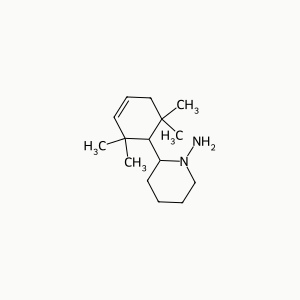 CC1(C)C=CCC(C)(C)C1C1CCCCN1N